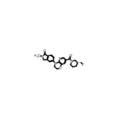 CN1Cc2cc(N3CCOc4cc(C(=O)N5CCC[C@@H](CF)C5)cnc43)ccc2C1=O